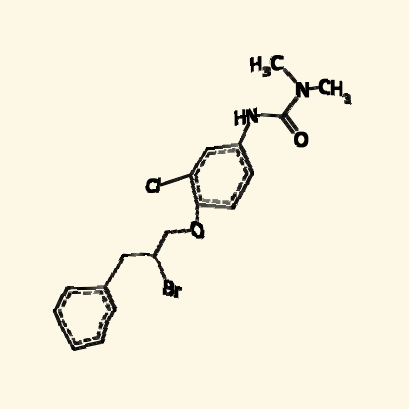 CN(C)C(=O)Nc1ccc(OCC(Br)Cc2ccccc2)c(Cl)c1